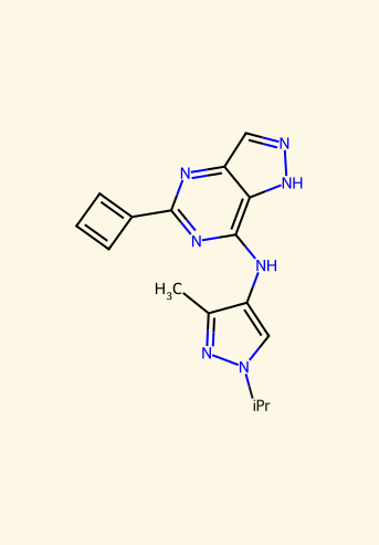 Cc1nn(C(C)C)cc1Nc1nc(C2=CC=C2)nc2cn[nH]c12